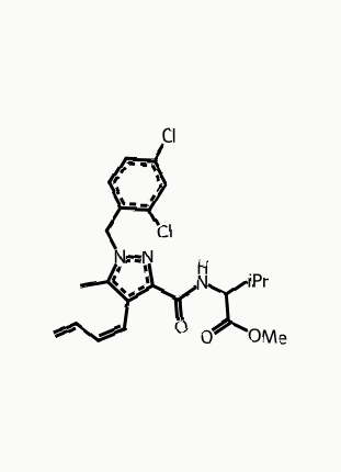 C=C/C=C\c1c(C(=O)NC(C(=O)OC)C(C)C)nn(Cc2ccc(Cl)cc2Cl)c1C